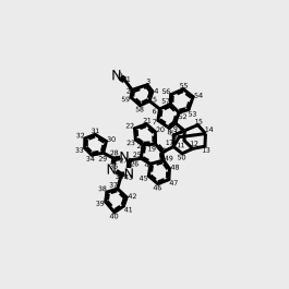 N#Cc1ccc(-c2ccc(C34CC5CC(C3)CC(c3c6ccccc6c(-c6nc(-c7ccccc7)nc(-c7ccccc7)n6)c6ccccc36)(C5)C4)c3ccccc23)cc1